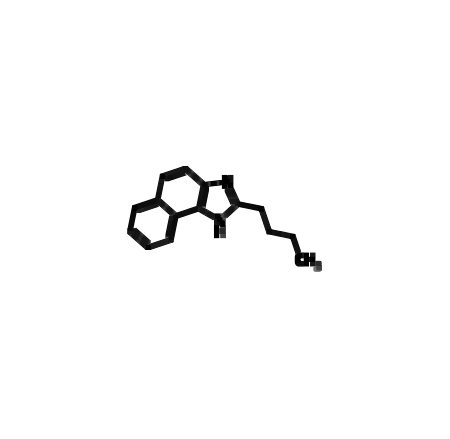 CCCCc1nc2ccc3ccccc3c2[nH]1